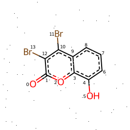 O=c1oc2c(O)cccc2c(Br)c1Br